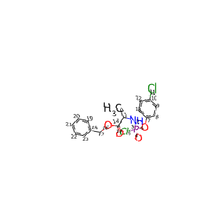 CC(NP(=O)(Cl)Oc1ccc(Cl)cc1)C(=O)OCc1ccccc1